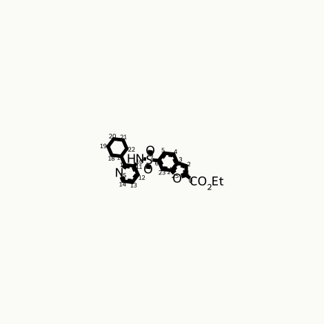 CCOC(=O)c1cc2ccc(S(=O)(=O)Nc3cccnc3C3CCCCC3)cc2o1